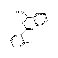 CCOC(=O)C(OC(=O)c1ccccc1Cl)c1ccccc1